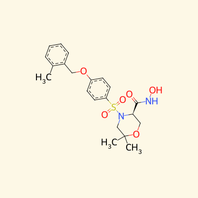 Cc1ccccc1COc1ccc(S(=O)(=O)N2CC(C)(C)OC[C@@H]2C(=O)NO)cc1